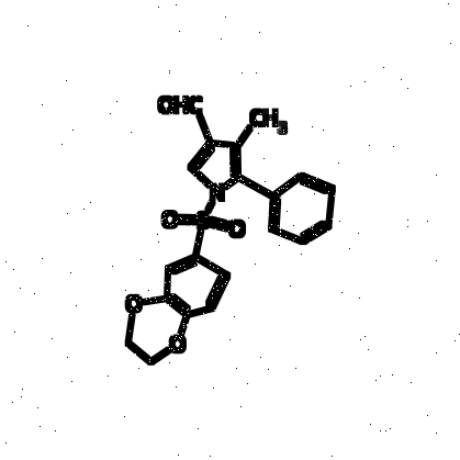 Cc1c(C=O)cn(S(=O)(=O)c2ccc3c(c2)OCCO3)c1-c1ccccc1